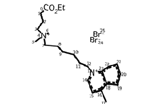 CCOC(=O)CCC[N+](C)(C)CCCCCC[n+]1ccc(C)c2ccccc21.[Br-].[Br-]